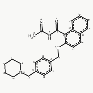 N=C(N)NC(=O)c1c(OCc2ccc(CN3CCCCC3)cc2)ccc2ccccc12